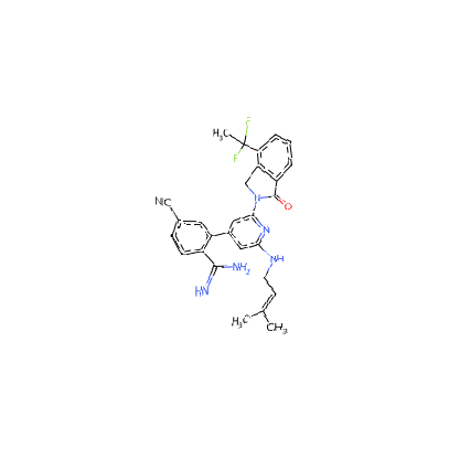 CC(C)=CCNc1cc(-c2cc(C#N)ccc2C(=N)N)cc(N2Cc3c(cccc3C(C)(F)F)C2=O)n1